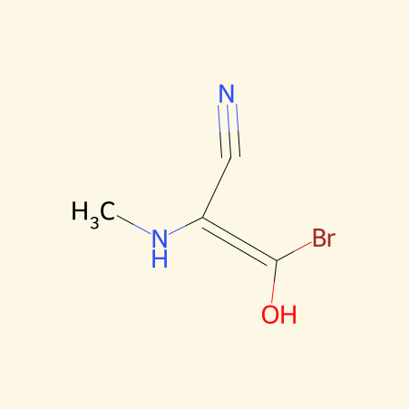 CN/C(C#N)=C(\O)Br